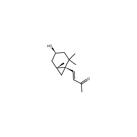 CC(=O)/C=C/[C@@]12C[C@]1(C)C[C@@H](O)CC2(C)C